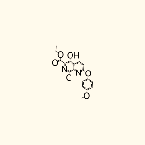 CCOC(=O)c1nc(Cl)c2nc(Oc3ccc(OC)cc3)ccc2c1O